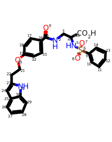 O=C(NCC(NS(=O)(=O)c1ccccc1)C(=O)O)c1ccc(OCCc2cc3ccccc3[nH]2)cc1